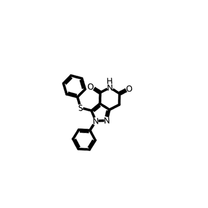 O=C1Cc2nn(-c3ccccc3)c(Sc3ccccc3)c2C(=O)N1